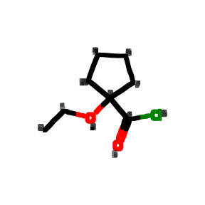 CCOC1(C(=O)Cl)CCCC1